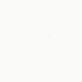 CC(C(=O)OC(NC(=O)OCc1ccccc1)c1ccccc1)c1ccccc1